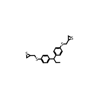 CCC(c1ccc(SCC2CS2)cc1)c1ccc(SCC2CS2)cc1